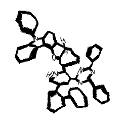 C1=CCCC(n2c3ccccc3c3c4c(ccc32)[C@@H]2C=CC=C(C3NCC(C5=CCCC=C5C5=CCCC=C5)=CC3c3nc(C5=CCCC=C5)nc(-c5ccccc5)n3)C2O4)=C1